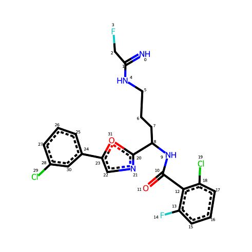 N=C(CF)NCCCC(NC(=O)c1c(F)cccc1Cl)c1ncc(-c2cccc(Cl)c2)o1